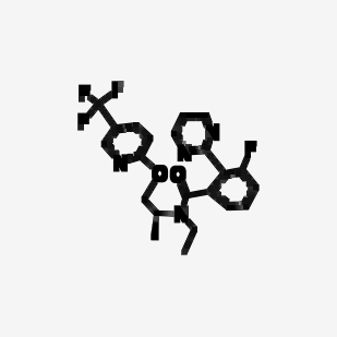 CCN(C(=O)c1cccc(F)c1-c1ncccn1)[C@@H](C)COc1ccc(C(F)(F)F)cn1